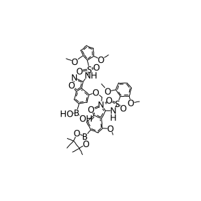 COc1cccc(OC)c1S(=O)(=O)Nc1noc2cc(B(O)O)cc(OC[n+]3oc4cc(B5OC(C)(C)C(C)(C)O5)cc(OC)c4c3NS(=O)(=O)c3c(OC)cccc3OC)c12